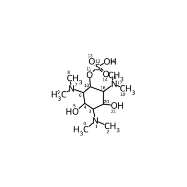 CN(C)C1C(O)C(N(C)C)C(OS(=O)(=O)O)C(N(C)C)C1O